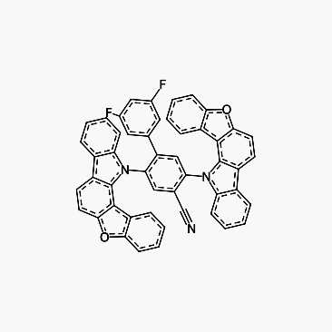 N#Cc1cc(-n2c3ccccc3c3ccc4oc5ccccc5c4c32)c(-c2cc(F)cc(F)c2)cc1-n1c2ccccc2c2ccc3oc4ccccc4c3c21